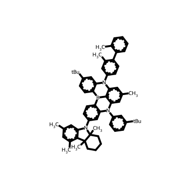 Cc1cc2c3c(c1)N(c1ccc(-c4ccccc4C)c(C)c1)c1cc(C(C)(C)C)ccc1B3c1ccc(N3c4cc(C)cc(C)c4C4(C)CCCCC34C)cc1N2c1cccc(C(C)(C)C)c1